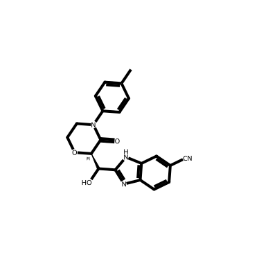 Cc1ccc(N2CCO[C@H](C(O)c3nc4ccc(C#N)cc4[nH]3)C2=O)cc1